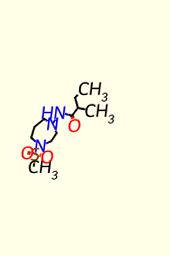 CCC(C)C(=O)NN1CCCN(S(C)(=O)=O)CC1